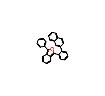 c1ccc(-c2oc(-c3ccccc3-c3ccc4ccccc4c3)c3ccccc23)cc1